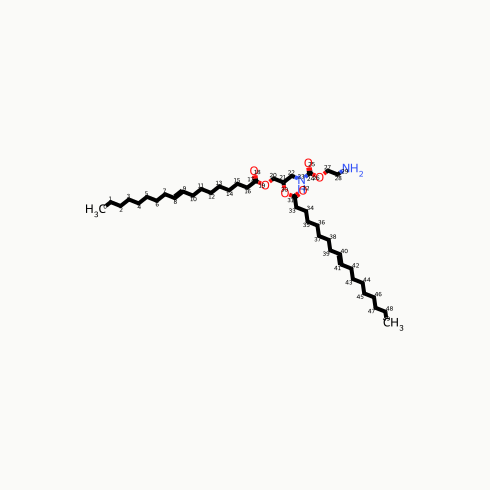 CCCCCCCCC=CCCCCCCCC(=O)OCC(CNC(=O)OCCN)OC(=O)CCCCCCCC=CCCCCCCCC